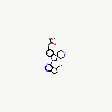 CNC(=O)Cc1ccc2c(c1)C1(CCNCC1)CN2c1ncnc2c1C(C)CC2